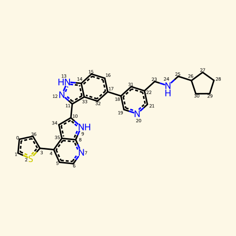 c1csc(-c2ccnc3[nH]c(-c4n[nH]c5ccc(-c6cncc(CNCC7CCCC7)c6)cc45)cc23)c1